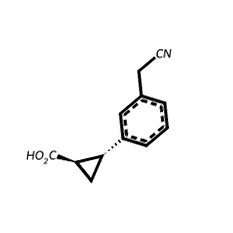 N#CCc1cccc([C@@H]2C[C@H]2C(=O)O)c1